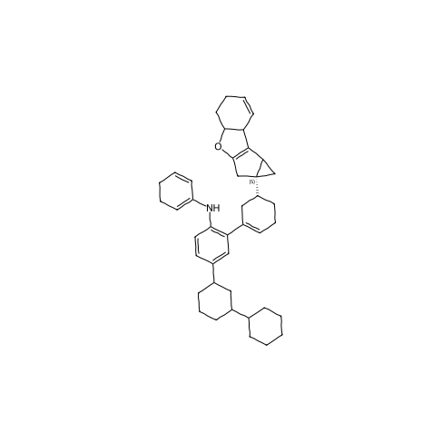 C1=CC(Nc2ccc(C3CCCC(C4CCCCC4)C3)cc2C2=CCCC([C@]34CC5=C(C6C=CCCC6O5)C3C4)C2)=CCC1